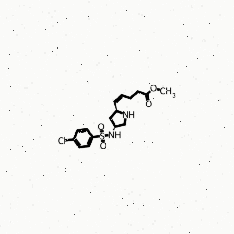 COC(=O)CC/C=C\[C@@H]1C[C@@H](NS(=O)(=O)c2ccc(Cl)cc2)CN1